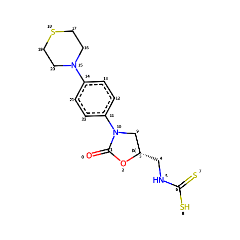 O=C1O[C@@H](CNC(=S)S)CN1c1ccc(N2CCSCC2)cc1